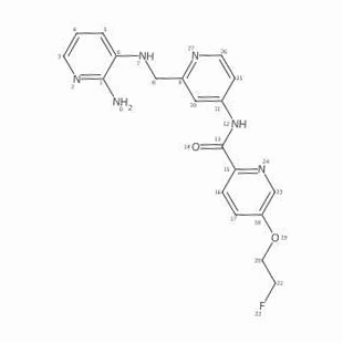 Nc1ncccc1NCc1cc(NC(=O)c2ccc(OCCF)cn2)ccn1